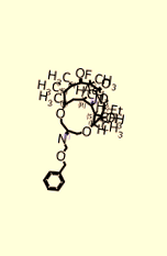 CC[C@H]1OC(=O)[C@@](C)(F)C(=O)[C@H](C)[C@@H](C)[C@@]2(C)C[C@@H](C)/C(=N\C(C)=O)[C@H](C)[C@@H](OC/C(=N\COCc3ccccc3)CO2)[C@]1(C)O